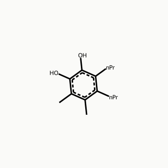 CCCc1c(C)c(C)c(O)c(O)c1CCC